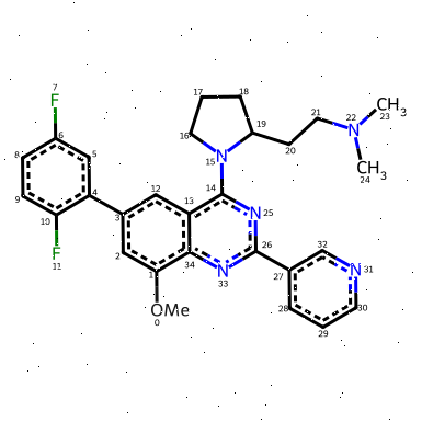 COc1cc(-c2cc(F)ccc2F)cc2c(N3CCCC3CCN(C)C)nc(-c3cccnc3)nc12